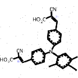 Cc1cc(C)c(N(c2ccc(/C=C(/C#N)C(=O)O)cc2)c2ccc(/C=C(\C#N)C(=O)O)cc2)cc1C